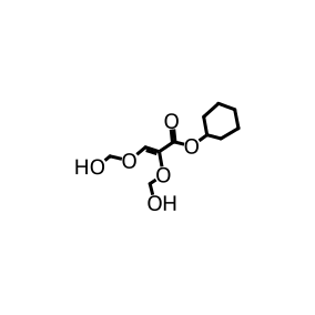 O=C(OC1CCCCC1)C(=COCO)OCO